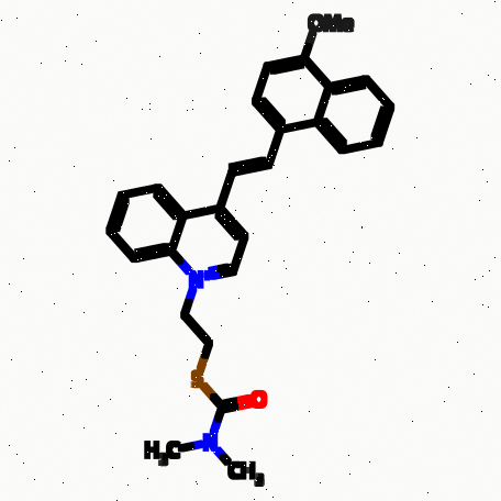 COc1ccc(/C=C/c2cc[n+](CCSC(=O)N(C)C)c3ccccc23)c2ccccc12